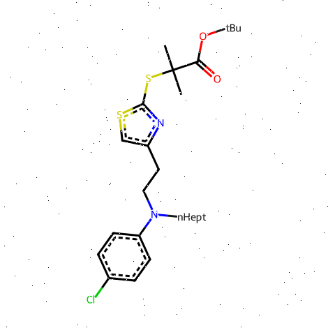 CCCCCCCN(CCc1csc(SC(C)(C)C(=O)OC(C)(C)C)n1)c1ccc(Cl)cc1